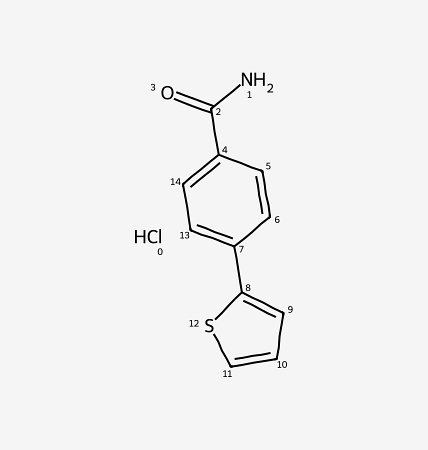 Cl.NC(=O)c1ccc(-c2cccs2)cc1